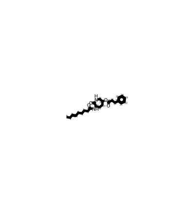 CCC=CCCCCC(=O)NC1CCC(OC(=O)CCc2ccccc2)CNC1=O